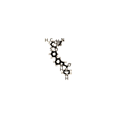 CC(C)CC(Sc1ccc(-c2ccc3[nH]c(C(=O)N4CCNCC4)cc3c2)cc1)C(=O)NCC#N